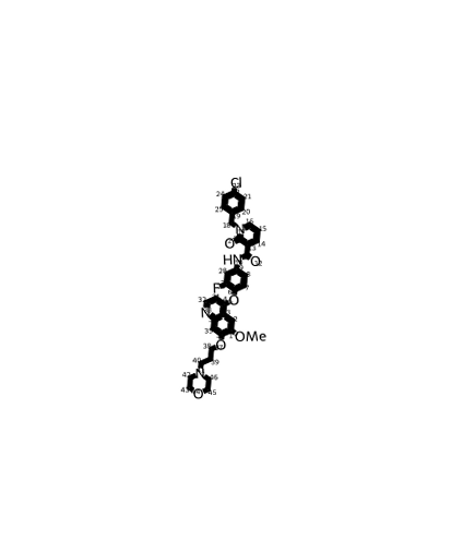 COc1cc2c(Oc3ccc(NC(=O)c4cccn(Cc5ccc(Cl)cc5)c4=O)cc3F)ccnc2cc1OCCCN1CCOCC1